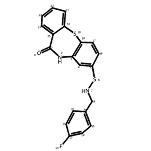 O=C1Nc2cc(SNCc3ccc(F)cc3)ccc2Sc2ccccc21